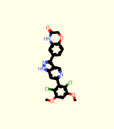 COc1cc(OC)c(Cl)c(-c2cc3[nH]nc(-c4ccc5c(c4)NC(=O)CO5)c3cn2)c1Cl